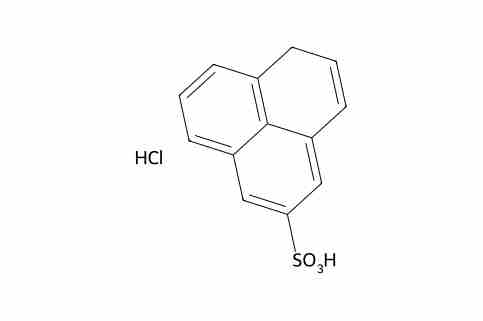 Cl.O=S(=O)(O)c1cc2c3c(cccc3c1)CC=C2